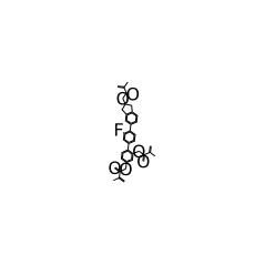 C=C(C)C(=O)Oc1ccc(-c2ccc(-c3ccc4c(c3)CC(OC(=O)C(=C)C)C4)c(F)c2)c(OC(=O)C(=C)C)c1